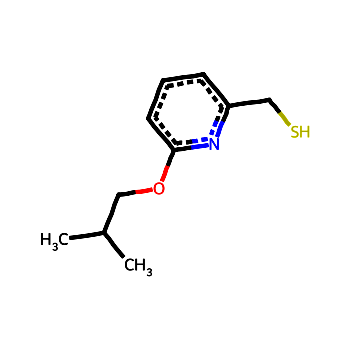 CC(C)COc1cccc(CS)n1